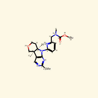 CSc1ncc2c(n1)N(c1cccc(CN(C)C(=O)OC(C)(C)C)n1)[C@@H]1CCOC[C@]21C